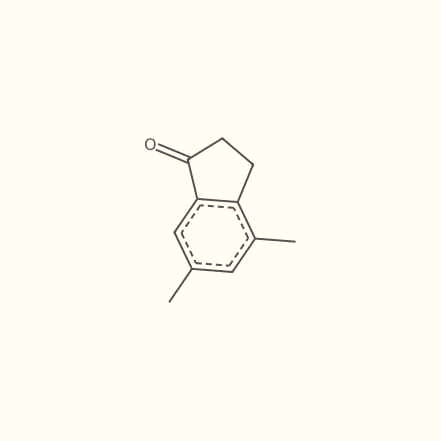 Cc1cc(C)c2c(c1)C(=O)CC2